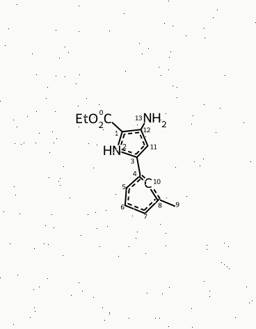 CCOC(=O)c1[nH]c(-c2cccc(C)c2)cc1N